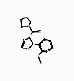 COc1ncccc1[C@H]1OC=N[C@@H]1C(=O)N1CCCC1